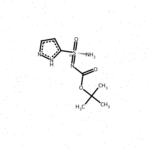 CC(C)(C)OC(=O)N=[S@](N)(=O)c1ccn[nH]1